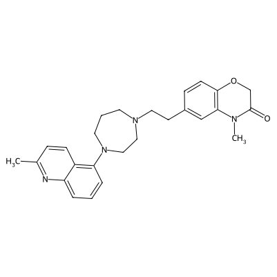 Cc1ccc2c(N3CCCN(CCc4ccc5c(c4)N(C)C(=O)CO5)CC3)cccc2n1